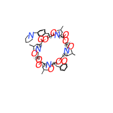 CC(C)C[C@H]1C(=O)O[C@H](C)C(=O)N(C)[C@@H](CC(C)C)C(=O)O[C@H](Cc2ccccc2)C(=O)N(C)[C@@H](CC(C)C)C(=O)O[C@H](C)C(=O)N(C)[C@@H](CC(C)C)C(=O)O[C@@H](Cc2ccc(CN3CCCCC3)cc2)C(=O)N1C